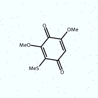 COC1=CC(=O)C(SC)=C(OC)C1=O